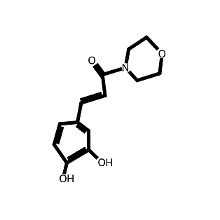 O=C(C=Cc1ccc(O)c(O)c1)N1CCOCC1